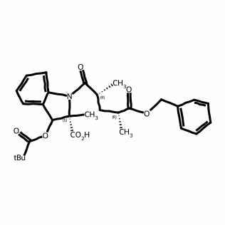 C[C@H](C[C@@H](C)C(=O)N1c2ccccc2C(OC(=O)C(C)(C)C)[C@@]1(C)C(=O)O)C(=O)OCc1ccccc1